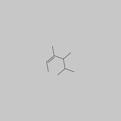 CC=C(C)C(C)C(C)C